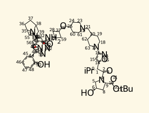 CC(C)[C@@H](C(=O)N1C[C@H](O)CC1C(=O)OC(C)(C)C)c1cc(N2CCC(CN3CCC(O[C@H]4C[C@H](Oc5cc(N6C7CCC6CN(c6cc(-c8ccccc8O)nnc6N)C7)ccn5)C4)CC3)CC2)no1